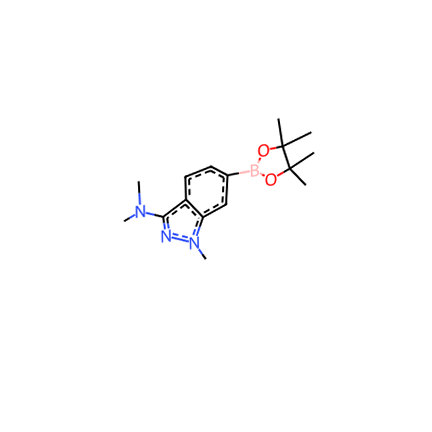 CN(C)c1nn(C)c2cc(B3OC(C)(C)C(C)(C)O3)ccc12